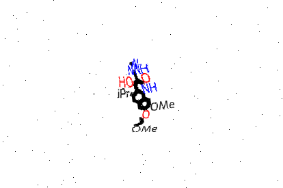 COCCCOc1cc2c(cc1OC)-c1[nH]c(=O)c(-c3ncn[nH]3)c(O)c1C(C(C)C)C2